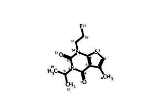 Cc1csc2c1c(=O)n(C(C)C)c(=O)n2CCF